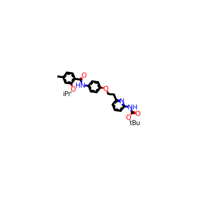 Cc1ccc(C(=O)Nc2ccc(OCCc3cccc(NC(=O)OC(C)(C)C)n3)cc2)c(OC(C)C)c1